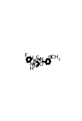 COc1cccc(C2=NN(C)c3nc(Nc4ccc(F)cc4)ncc3O2)c1